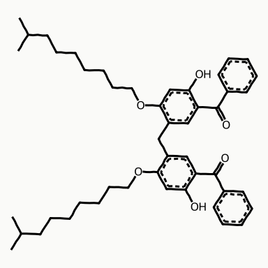 CC(C)CCCCCCCOc1cc(O)c(C(=O)c2ccccc2)cc1Cc1cc(C(=O)c2ccccc2)c(O)cc1OCCCCCCCC(C)C